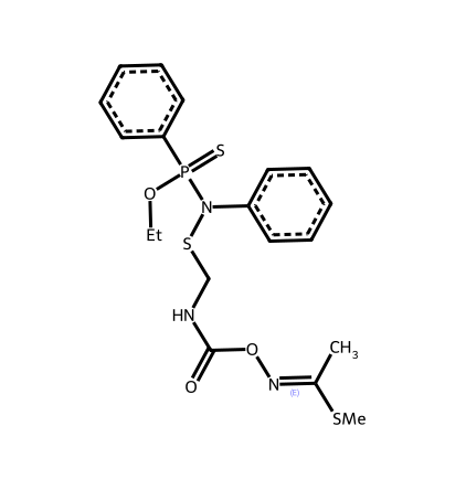 CCOP(=S)(c1ccccc1)N(SCNC(=O)O/N=C(\C)SC)c1ccccc1